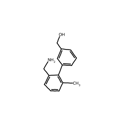 Cc1cccc(CN)c1-c1cccc(CO)c1